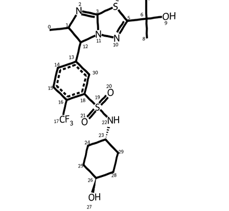 CC1N=C2SC(C(C)(C)O)=NN2C1c1ccc(C(F)(F)F)c(S(=O)(=O)N[C@H]2CC[C@H](O)CC2)c1